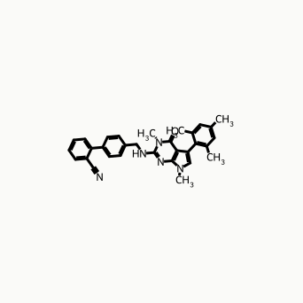 Cc1cc(C)c(-c2cn(C)c3nc(NCc4ccc(-c5ccccc5C#N)cc4)n(C)c(=O)c23)c(C)c1